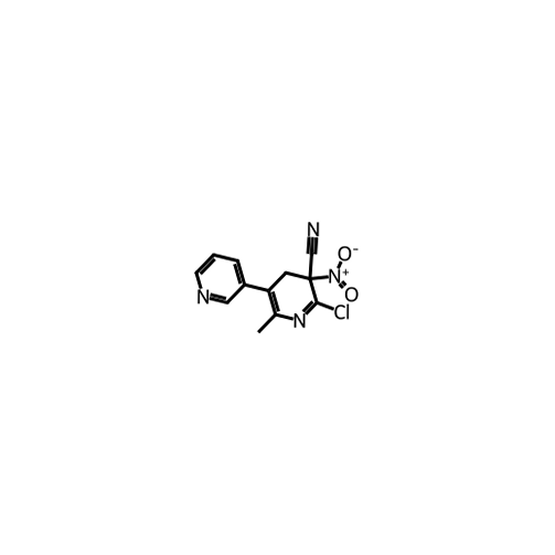 CC1=C(c2cccnc2)CC(C#N)([N+](=O)[O-])C(Cl)=N1